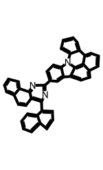 c1ccc2c(-c3nc(-c4ccc5c(c4)c4ccc6cccc7c8ccccc8n5c4c67)nc4c3ccc3ccccc34)cccc2c1